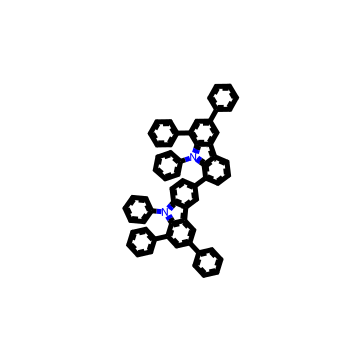 c1ccc(-c2cc(-c3ccccc3)c3c(c2)c2cc(-c4cccc5c6cc(-c7ccccc7)cc(-c7ccccc7)c6n(-c6ccccc6)c45)ccc2n3-c2ccccc2)cc1